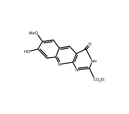 CCOC(=O)c1nc2nc3cc(O)c(OC)cc3cc2c(=O)[nH]1